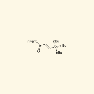 CCCCCC(=O)/C=[CH]/[Sn]([CH2]CCC)([CH2]CCC)[CH2]CCC